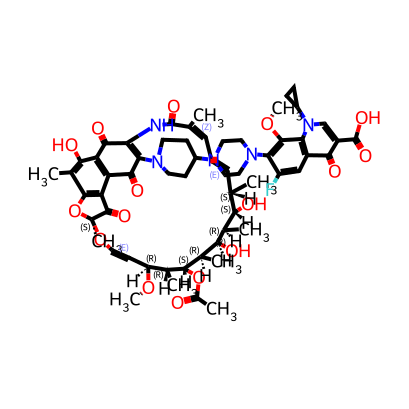 COc1c(N2CCN(C3CCN(C4=C5NC(=O)/C(C)=C\C=C\[C@H](C)[C@H](O)[C@@H](C)[C@@H](O)[C@@H](C)[C@H](OC(C)=O)[C@H](C)[C@@H](OC)/C=C/O[C@@]6(C)Oc7c(C)c(O)c(c(c7C6=O)C4=O)C5=O)CC3)CC2)c(F)cc2c(=O)c(C(=O)O)cn(C3CC3)c12